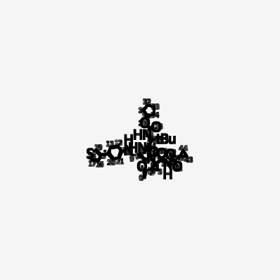 C=C[C@@H]1C[C@]1(NC(=O)[C@H](CNc1ccc(-c2ccsc2)cc1)NC(=O)[C@@H](NC(=O)OC1CCCC1)C(C)(C)C)C(=O)NS(=O)(=O)C1CC1